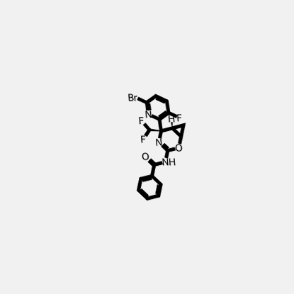 O=C(NC1=N[C@@](c2nc(Br)ccc2F)(C(F)F)[C@H]2CC2O1)c1ccccc1